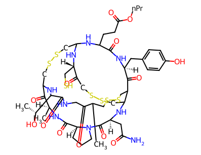 CCCOC(=O)CCC1NC2CSSCC3N[C@@H]([C@@H](C)O)C(=O)NCC(=O)C(C)CSSCC(C(=O)[C@H](Cc4ccc(O)cc4)NC1=O)C(CSSCC(=O)[C@H](CS)N2)N[C@@H](CC(N)=O)C(=O)N1CCC[C@H]1C(=O)N[C@@H](C)C3=O